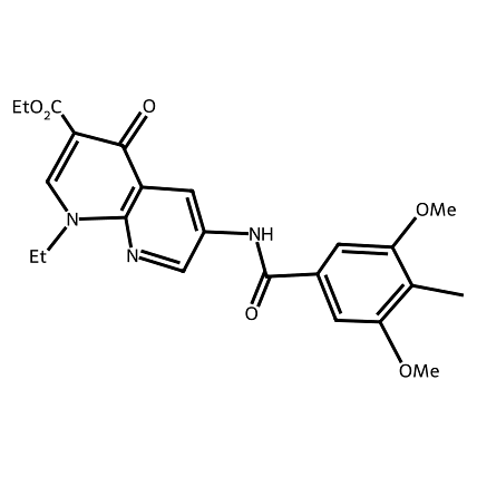 CCOC(=O)c1cn(CC)c2ncc(NC(=O)c3cc(OC)c(C)c(OC)c3)cc2c1=O